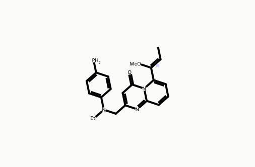 C/C=C(\OC)c1cccc2nc(CN(CC)c3ccc(P)cc3)cc(=O)n12